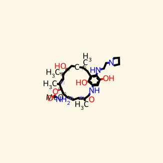 CO[C@H]1/C=C\C=C(/C)C(=O)Nc2cc(O)c(NCCN3CCCC3)c(c2O)C[C@@H](C)CC[C@H](O)[C@@H](C)/C=C(\C)[C@@H]1OC(N)=O